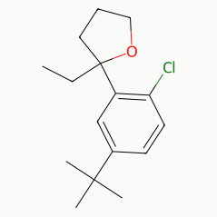 CCC1(c2cc(C(C)(C)C)ccc2Cl)CCCO1